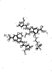 CCn1nc(C)cc1C(=O)Nc1nc2cc(C(N)=O)cc(OCCCOS(C)(=O)=O)c2n1CCC[C@H]1COc2cc(C(N)=O)cc3nc(NC(=O)c4cc(C)nn4CC)n1c23